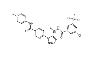 C[C@@H](NC(=O)c1cc(Cl)cc(S(C)(=O)=O)c1)c1ncnn1-c1ccc(C(=O)Nc2ccc(F)cc2)cn1